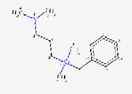 CN(C)CCC[N+](C)(C)Cc1ccccc1